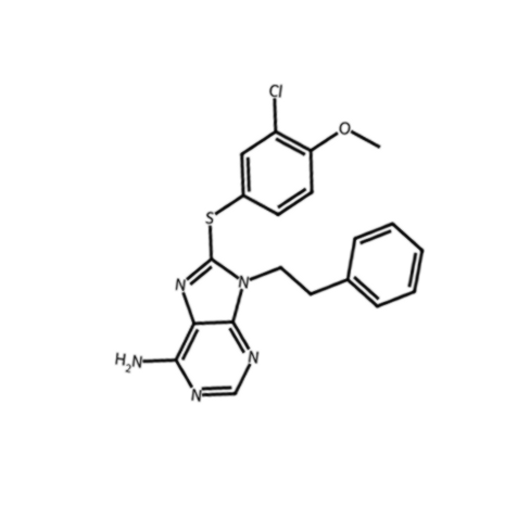 COc1ccc(Sc2nc3c(N)ncnc3n2CCc2ccccc2)cc1Cl